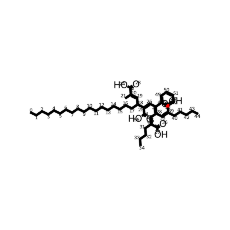 CCCCCCCCCCCCCCCCCCC(C=C(C)C(=O)O)C(=CC(=C(C=C(CCCC)C(=O)O)C=C(CCCCC)C(=O)O)c1ccccc1)C(=O)O